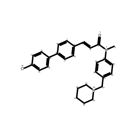 CN(C(=O)C=Cc1ccc(-c2ccc(Cl)cc2)cc1)c1ccc(CN2CCCCC2)cc1